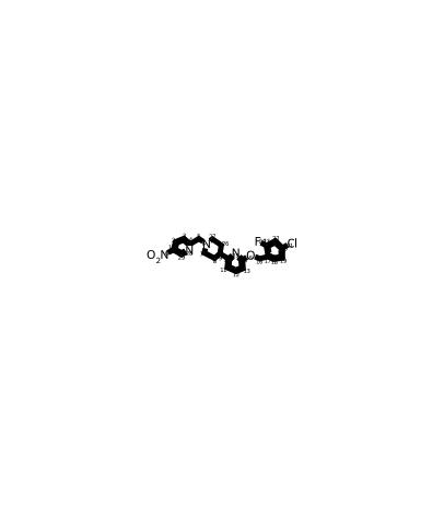 O=[N+]([O-])c1ccc(CN2CCC(c3cccc(OCc4ccc(Cl)cc4F)n3)CC2)nc1